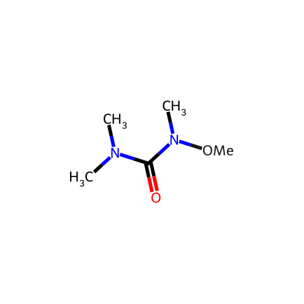 CON(C)C(=O)N(C)C